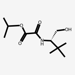 CC(C)OC(=O)C(=O)N[C@H](CO)C(C)(C)C